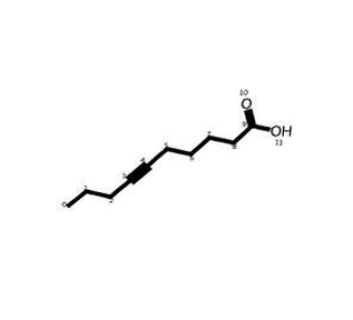 CCCC#CCCCCC(=O)O